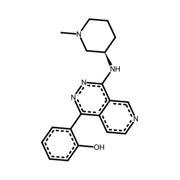 CN1CCC[C@@H](Nc2nnc(-c3ccccc3O)c3ccncc23)C1